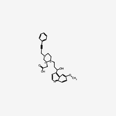 COc1ccc2nccc(C(O)CC[C@@H]3CCN(CC#Cc4ccccc4)C[C@@H]3CC(=O)O)c2c1